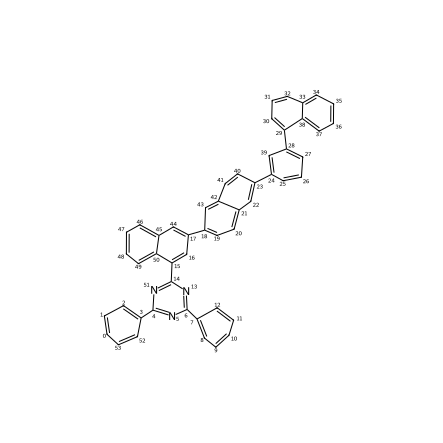 c1ccc(-c2nc(-c3ccccc3)nc(-c3cc(-c4ccc5cc(-c6cccc(-c7cccc8ccccc78)c6)ccc5c4)cc4ccccc34)n2)cc1